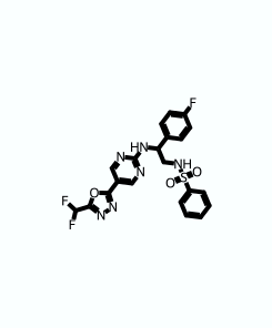 O=S(=O)(NCC(Nc1ncc(-c2nnc(C(F)F)o2)cn1)c1ccc(F)cc1)c1ccccc1